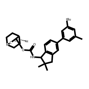 Cc1cc(-c2ccc3c(c2)CC(C)(C)C3NC(=O)O[C@H]2CN3CCC2CC3)cc(C(C)(C)C)c1